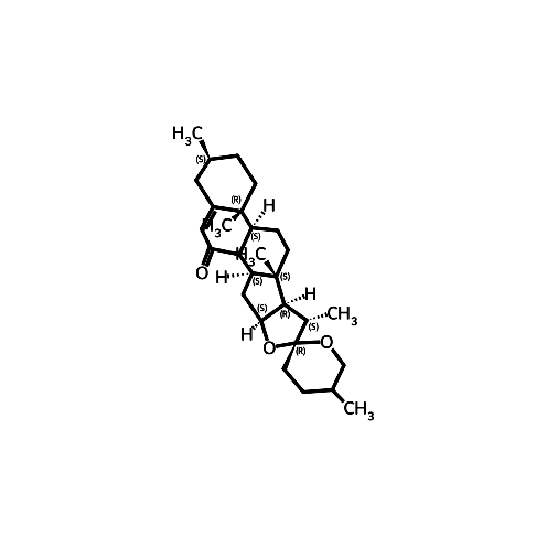 CC1CC[C@@]2(OC1)O[C@H]1C[C@H]3C4C(=O)C=C5C[C@@H](C)CC[C@]5(C)[C@H]4CC[C@]3(C)[C@H]1[C@@H]2C